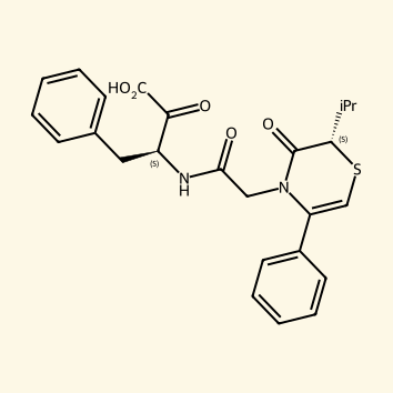 CC(C)[C@@H]1SC=C(c2ccccc2)N(CC(=O)N[C@@H](Cc2ccccc2)C(=O)C(=O)O)C1=O